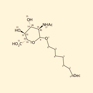 CCCCCCCCCCCCCCCCOC1O[C@H](C(=O)O)[C@@H](O)[C@H](O)[C@H]1NC(C)=O